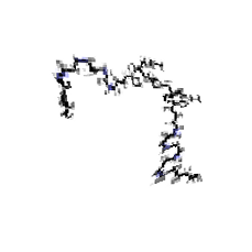 CCCCC/C=C\C/C=C\C/C=C\C/C=C\CCCC(=O)OC(CO)COOCC(CO)OC(=O)CCC/C=C\C/C=C\C/C=C\C/C=C\CCCCC